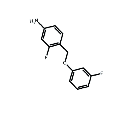 Nc1ccc(COc2cccc(F)c2)c(F)c1